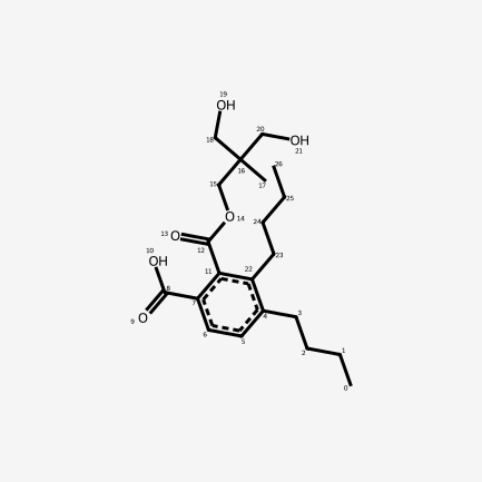 CCCCc1ccc(C(=O)O)c(C(=O)OCC(C)(CO)CO)c1CCCC